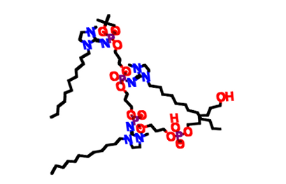 CCCCCCCCCCCCN1CCN(C)C1=NP(=O)(OCCCOP(=O)(O)OCCCCCCO)OCCCOP(=O)(N=C1N(C)CCN1CCCCCCCCCCCC)OCCCOP(=O)(N=C1N(C)CCN1CCCCCCCCCCCC)OC(C)(C)C